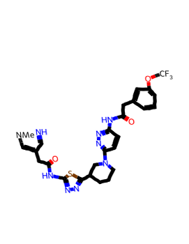 CN/C=C(\C=N)CC(=O)Nc1nnc(C2CCCN(c3ccc(NC(=O)Cc4cccc(OC(F)(F)F)c4)nn3)C2)s1